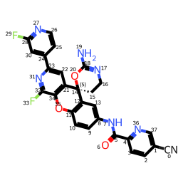 N#Cc1ccc(C(=O)Nc2ccc3c(c2)[C@@]2(CCN=C(N)O2)c2cc(-c4ccnc(F)c4)nc(F)c2O3)nc1